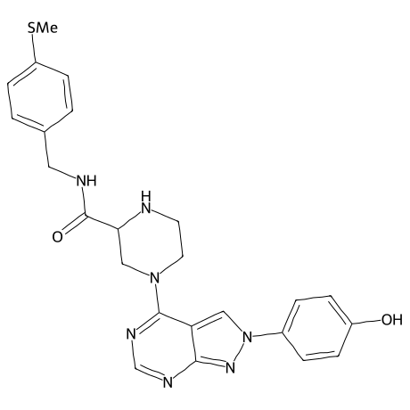 CSc1ccc(CNC(=O)C2CN(c3ncnc4nn(-c5ccc(O)cc5)cc34)CCN2)cc1